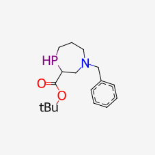 CC(C)(C)OC(=O)C1CN(Cc2ccccc2)CCCP1